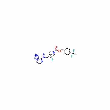 CC(F)(F)c1ccc(COC(=O)N2CC[C@H](CNc3nccn4cnnc34)[C@H](F)C2)cc1